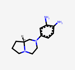 Nc1ccc(N2CCN3CCC[C@@H]3C2)cc1N